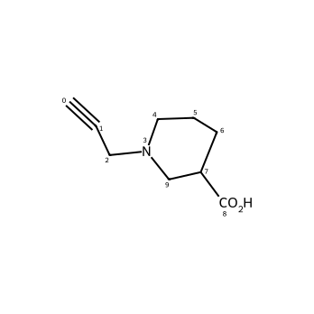 C#CCN1CCCC(C(=O)O)C1